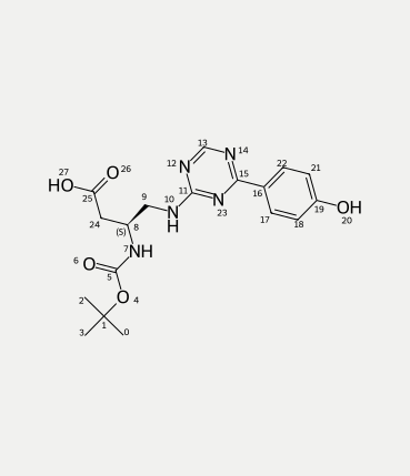 CC(C)(C)OC(=O)N[C@H](CNc1ncnc(-c2ccc(O)cc2)n1)CC(=O)O